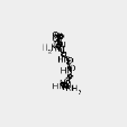 CC(c1ccccc1[N+](=O)[O-])n1cnc2c(OCc3ccc(CNC(=O)CCCC(=O)NCc4ccc(COc5nc(N)nc6[nH]cnc56)cc4)cc3)nc(N)nc21